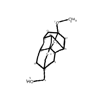 COC12CC3C4CC5(CO)CC3C(C1)C(C5)C4C2